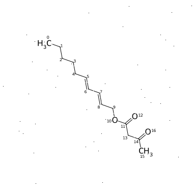 CCCCCC=CC=CCOC(=O)CC(C)=O